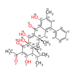 CC(=O)C1=C(O)C(C(C)C)[C@@]2(C)C[C@@]3(C)Cc4c(-c5ccccc5)cc(C)c(O)c4C(=O)C3=C(O)[C@@]2(O)C1=O